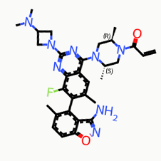 C=CC(=O)N1C[C@H](C)N(c2nc(N3CC(N(C)C)C3)nc3c(F)c(-c4c(C)ccc5onc(N)c45)c(C)cc23)C[C@H]1C